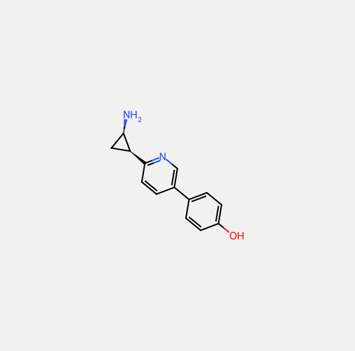 N[C@@H]1C[C@@H]1c1ccc(-c2ccc(O)cc2)cn1